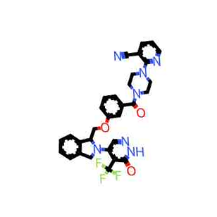 N#Cc1cccnc1N1CCN(C(=O)c2cccc(OCC3c4ccccc4CN3c3cn[nH]c(=O)c3C(F)(F)F)c2)CC1